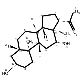 CC(=O)[C@H]1CC[C@H]2[C@@H]3CC[C@H]4C[C@@H](O)CC[C@]4(C)[C@H]3C[C@@H](O)[C@]12C